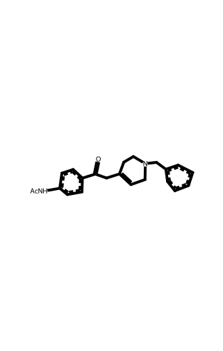 CC(=O)Nc1ccc(C(=O)CC2=CCN(Cc3ccccc3)CC2)cc1